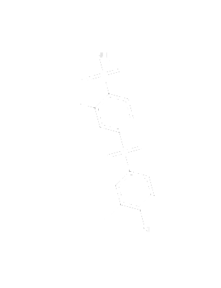 Cc1cc(S(=O)(=O)c2ccc(S(N)(=O)=O)c(C)c2)ccc1N